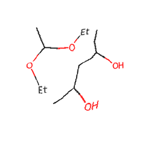 CC(O)CC(C)O.CCOC(C)OCC